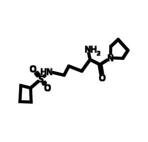 NC(CCCNS(=O)(=O)C1CCC1)C(=O)N1CCCC1